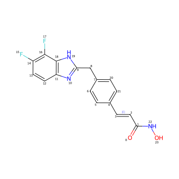 O=C(/C=C/c1ccc(Cc2nc3ccc(F)c(F)c3[nH]2)cc1)NO